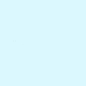 Cc1ccc(C2CCC(=O)C2C)cc1